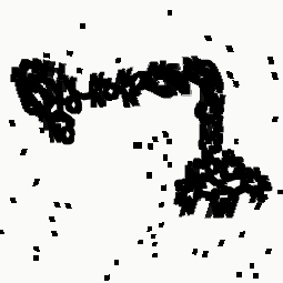 c1cnon1.c1cnsn1.c1csnn1.c1ncon1.c1ncsn1.c1nnc(N2N=C(c3ncon3)OC2(c2conn2)c2cnon2)[nH]1.c1nnc(S2(c3csnn3)C(c3cnsn3)=NN=C2c2ncsn2)o1